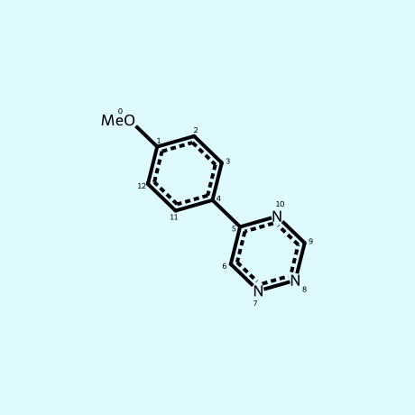 COc1ccc(-c2cnncn2)cc1